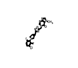 Cn1cnc2ncn(Cc3nc(C4C5CN(c6c(F)ccc(Cl)c6F)CC54)no3)c(=O)c21